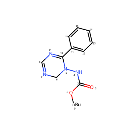 CCCCOC(=O)NN1CN=CN=C1c1ccccc1